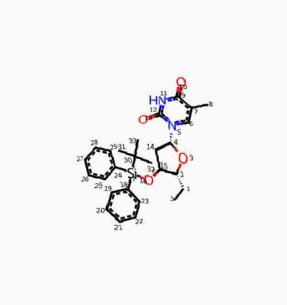 CC[C@H]1O[C@@H](n2cc(C)c(=O)[nH]c2=O)CC1O[Si](c1ccccc1)(c1ccccc1)C(C)(C)C